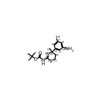 CC(C)(C)OC(=O)NC1=NC(C)(c2cc(N)cc(I)c2)CCS1